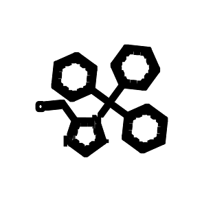 O=Cc1nc[c]n1C(c1ccccc1)(c1ccccc1)c1ccccc1